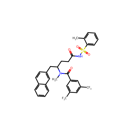 Cc1ccccc1S(=O)(=O)NC(=O)CCC(Cc1ccc2ccccc2c1)N(C)C(=O)c1cc(C(F)(F)F)cc(C(F)(F)F)c1